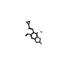 C=Cc1cc2c(c(N(C)N)c1/C=C(\N)C1CC1)CC(C)C2